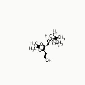 CC1(C)O[C@H](CCO)[C@@H](CO[Si](C)(C)C(C)(C)C)O1